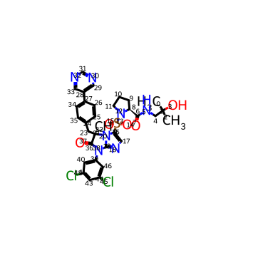 CC(C)(O)CNC(=O)[C@@H]1CCCN1S(=O)(=O)c1cnc2n1[C@](C)(Cc1ccc(-c3cncnc3)cc1)C(=O)N2c1cc(Cl)cc(Cl)c1